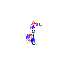 Cc1cc(CNC(=O)c2cc(C(=O)N[C@@H](C)c3ccc(-c4noc(C(N)=O)n4)cc3)ncn2)ccc1F